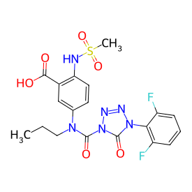 CCCN(C(=O)n1nnn(-c2c(F)cccc2F)c1=O)c1ccc(NS(C)(=O)=O)c(C(=O)O)c1